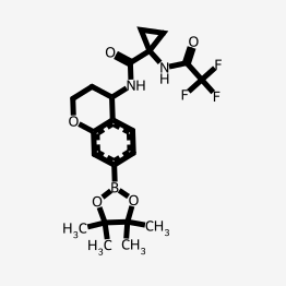 CC1(C)OB(c2ccc3c(c2)OCCC3NC(=O)C2(NC(=O)C(F)(F)F)CC2)OC1(C)C